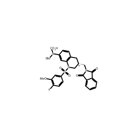 COc1cc(S(=O)(=O)N2C[C@@H](CN3C(=O)c4ccccc4C3=O)Cc3ccc(N(C(=O)O)C(C)(C)C)cc32)ccc1F